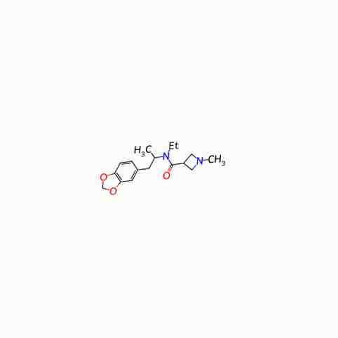 CCN(C(=O)C1CN(C)C1)C(C)Cc1ccc2c(c1)OCO2